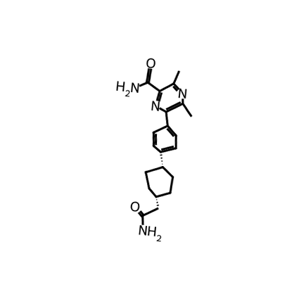 Cc1nc(C)c(-c2ccc([C@H]3CC[C@@H](CC(N)=O)CC3)cc2)nc1C(N)=O